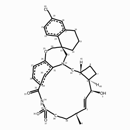 C[C@@H]1/C=C/[C@H](O)[C@@H]2CC[C@H]2CN2C[C@@]3(CCCc4cc(Cl)ccc43)COc3ccc(cc32)C(=O)NS(=O)(=O)CC1